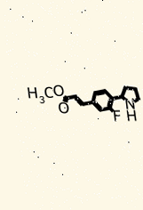 COC(=O)C=Cc1ccc(C2CCCN2)c(F)c1